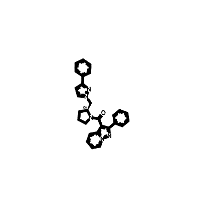 O=C(c1c(-c2ccccc2)nn2ccccc12)N1CCC[C@H]1Cn1ccc(-c2ccccc2)n1